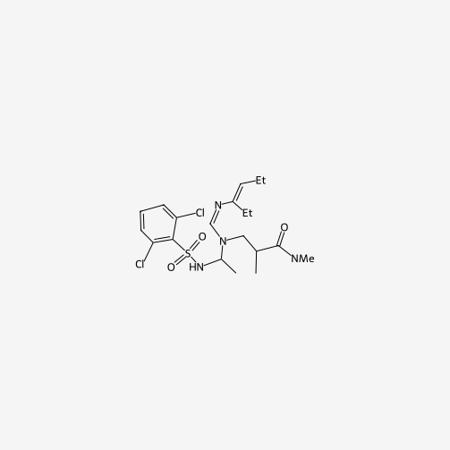 CC/C=C(CC)/N=C\N(CC(C)C(=O)NC)C(C)NS(=O)(=O)c1c(Cl)cccc1Cl